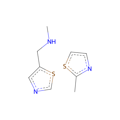 CNCc1cncs1.Cc1nccs1